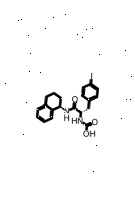 O=C(O)N[C@@H](Cc1ccc(I)cc1)C(=O)N[C@@H]1CCCc2ccccc21